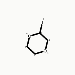 IC1COCCO1